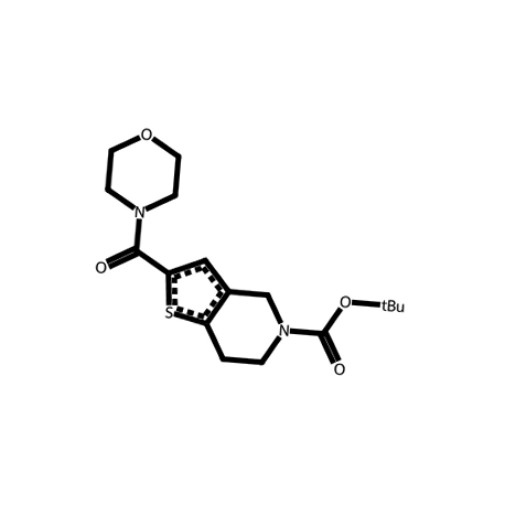 CC(C)(C)OC(=O)N1CCc2sc(C(=O)N3CCOCC3)cc2C1